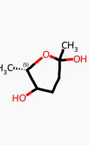 C[C@@H]1OC(C)(O)CCC1O